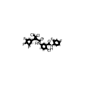 O=C(Nc1ccc(F)cc1F)c1cc(NC(=O)C2C(c3cc(F)c(F)c(F)c3)C2(Cl)Cl)ccc1Cl